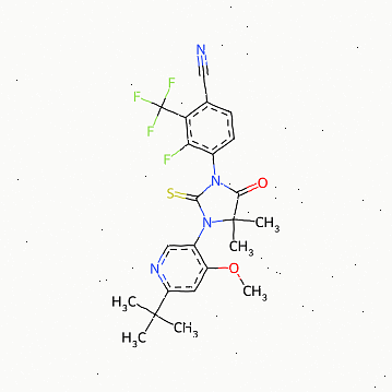 COc1cc(C(C)(C)C)ncc1N1C(=S)N(c2ccc(C#N)c(C(F)(F)F)c2F)C(=O)C1(C)C